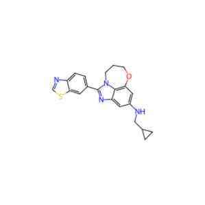 c1nc2ccc(-c3nc4cc(NCC5CC5)cc5c4n3CCCO5)cc2s1